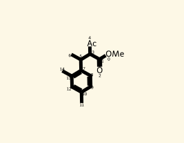 COC(=O)C(C(C)=O)C(C)c1ccc(C)cc1C